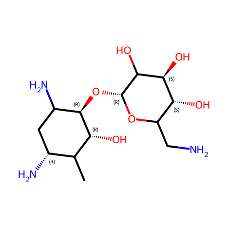 CC1[C@H](N)CC(N)[C@@H](O[C@H]2OC(CN)[C@@H](O)[C@H](O)C2O)[C@@H]1O